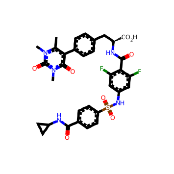 Cc1c(-c2ccc(C[C@H](NC(=O)c3c(F)cc(NS(=O)(=O)c4ccc(C(=O)NC5CC5)cc4)cc3F)C(=O)O)cc2)c(=O)n(C)c(=O)n1C